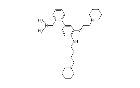 CN(C)Cc1ccccc1-c1ccc(NCCCCN2CCCCC2)c(OCCN2CCCCC2)c1